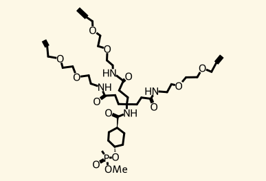 C#CCOCCOCCNC(=O)CCC(CCC(=O)NCCOCCOCC#C)(CCC(=O)NCCOCCOCC#C)NC(=O)[C@H]1CC[C@H](OP(C)(=O)OC)CC1